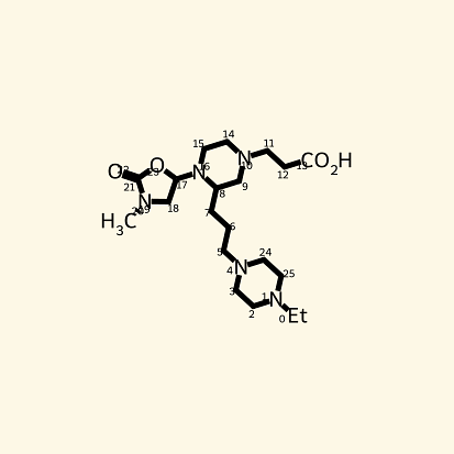 CCN1CCN(CCCC2CN(CCC(=O)O)CCN2C2CN(C)C(=O)O2)CC1